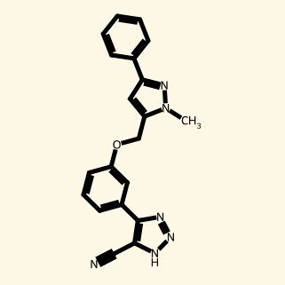 Cn1nc(-c2ccccc2)cc1COc1cccc(-c2nn[nH]c2C#N)c1